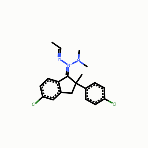 CC=N[N+](=C1c2ccc(Cl)cc2CC1(C)c1ccc(Cl)cc1)N(C)C